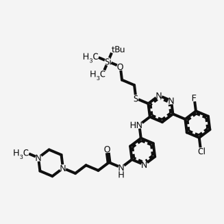 CN1CCN(CCCC(=O)Nc2cc(Nc3cc(-c4cc(Cl)ccc4F)nnc3SCCO[Si](C)(C)C(C)(C)C)ccn2)CC1